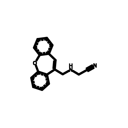 N#CCNCC1=Cc2ccccc2Oc2ccccc21